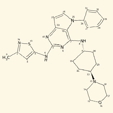 Cc1cc(Nc2nc(N[C@H]3CC[C@H](N4CCOCC4)CC3)c3c(ccn3-c3ccccc3)n2)sn1